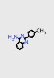 Cc1ccc(-c2nc(N)c3ccccc3n2)cc1